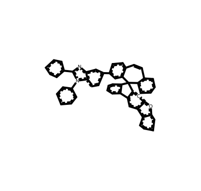 C1=Cc2ccc(-c3ccc4c(c3)nc(-c3ccccc3)n4-c3ccccc3)cc2C2(c3ccccc31)c1ccccc1-c1cc3c(cc12)oc1ccccc13